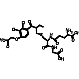 CCC(CSCC(NC(=O)CCC(N)C(=O)O)C(=O)NCC(=O)O)C(=O)c1ccc(OCC(=O)O)c(Cl)c1Cl